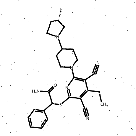 CCc1c(C#N)c(SC(C(N)=O)c2ccccc2)nc(N2CCC(N3CC[C@H](F)C3)CC2)c1C#N